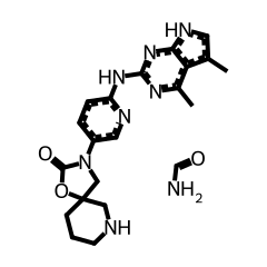 Cc1c[nH]c2nc(Nc3ccc(N4CC5(CCCNC5)OC4=O)cn3)nc(C)c12.NC=O